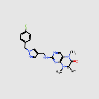 CCC[C@@H]1C(=O)N(C)c2cnc(NCc3cnn(Cc4ccc(F)cc4)c3)nc2N1C